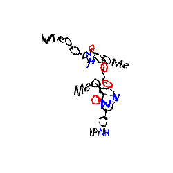 COc1ccc(C2=CN3C(=O)c4cc(OC)c(OCCCOc5cc6c(cc5OC)C(=O)N5C=C(c7ccc(NC(C)C)cc7)CC5C=N6)cc4N=CC3C2)cc1